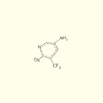 [C-]#[N+]c1ncc(N)cc1C(F)(F)F